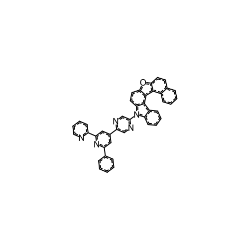 c1ccc(-c2cc(-c3cnc(-n4c5ccccc5c5c6c(ccc54)oc4ccc5ccccc5c46)cn3)cc(-c3ccccn3)n2)cc1